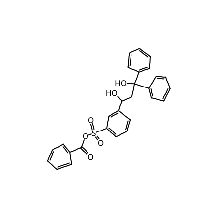 O=C(OS(=O)(=O)c1cccc(C(O)CC(O)(c2ccccc2)c2ccccc2)c1)c1ccccc1